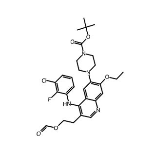 CCOc1cc2ncc(CCOC=O)c(Nc3cccc(Cl)c3F)c2cc1N1CCN(C(=O)OC(C)(C)C)CC1